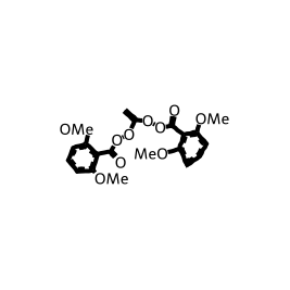 C=C(OOC(=O)c1c(OC)cccc1OC)OOC(=O)c1c(OC)cccc1OC